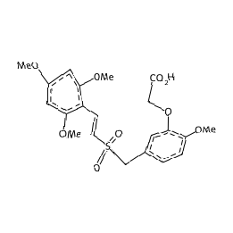 COc1cc(OC)c(C=CS(=O)(=O)Cc2ccc(OC)c(OCC(=O)O)c2)c(OC)c1